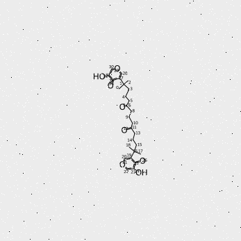 CC(C)(CCCC(=O)CCCC(=O)CCCC(C)(C)c1cocc(O)c1=O)c1cocc(O)c1=O